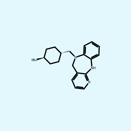 CC(C)(C)[C@H]1CC[C@H](CN2Cc3cccnc3Nc3ccccc32)CC1